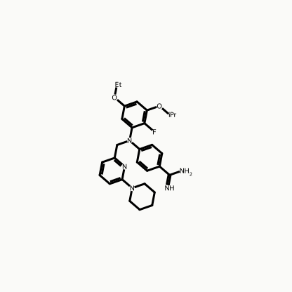 CCOc1cc(OC(C)C)c(F)c(N(Cc2cccc(N3CCCCC3)n2)c2ccc(C(=N)N)cc2)c1